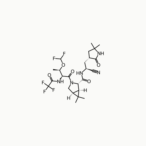 C[C@@H](OC(F)F)[C@H](NC(=O)C(F)(F)F)C(=O)N1C[C@H]2[C@@H]([C@H]1C(=O)N[C@H](C#N)C[C@@H]1CC(C)(C)NC1=O)C2(C)C